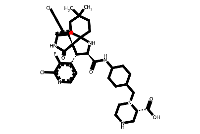 CC1(C)CCC2(CC1)N[C@@H](C(=O)NC1CCC(CN3CCNC[C@H]3C(=O)O)CC1)[C@H](c1ccnc(Cl)c1F)[C@]21C(=O)Nc2cc(Cl)ccc21